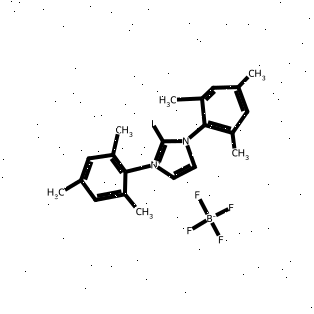 Cc1cc(C)c(-n2cc[n+](-c3c(C)cc(C)cc3C)c2I)c(C)c1.F[B-](F)(F)F